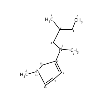 CCC(C)CN(C)C1=CC=CN(C)C1